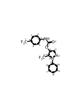 O=C(Nc1ccc(C(F)(F)F)cc1)Oc1cnn(-c2ccccc2)c1C(F)(F)F